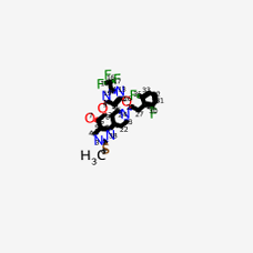 CSc1ncc(C(=O)COc2ccnc(C(F)(F)F)n2)c(C2CCN(C(=O)Cc3c(F)cccc3F)CC2)n1